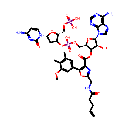 C=CCCC(=O)NCc1nc(C(=O)OC2[C@@H](COP(=O)(O)OC3C[C@H](n4ccc(N)nc4=O)O[C@@H]3COP(=O)(O)O)O[C@@H](n3cnc4c(N)ncnc43)[C@H]2O)c(-c2cc(C)c(C)c(OC)c2)o1